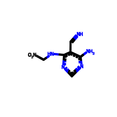 N=Cc1c(N)ncnc1NC[N+](=O)[O-]